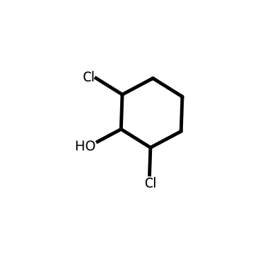 OC1C(Cl)CCCC1Cl